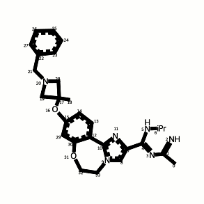 CC(=N)/N=C(\NC(C)C)c1cn2c(n1)-c1ccc(OC3(C)CN(Cc4ccccc4)C3)cc1OCC2